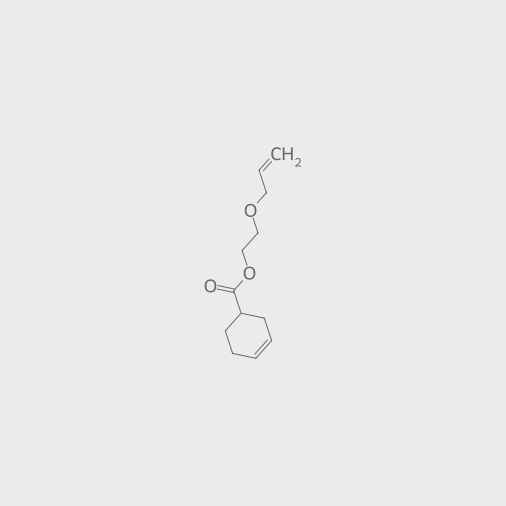 C=CCOCCOC(=O)C1CC=CCC1